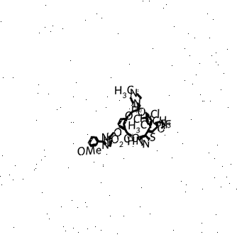 COc1ccccc1-c1nccc(COc2ccc3cc2C[C@H](C(=O)O)Oc2ncnc4sc(-c5ccc(F)o5)c(c24)-c2c(C)c(Cl)c(c(Cl)c2C)O[C@H](CN2CCN(C)CC2)CO3)n1